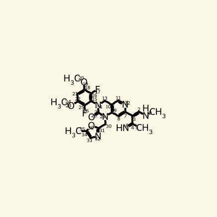 CN/C=C(\C(C)=N)c1cc2c(cn1)CN(c1c(F)c(OC)cc(OC)c1F)C(=O)N2Cc1ncc(C)o1